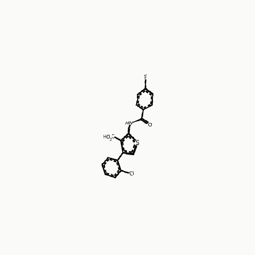 O=C(Nc1scc(-c2ccccc2Cl)c1C(=O)O)c1ccc(F)cc1